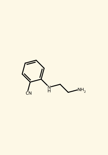 N#Cc1ccccc1NCCN